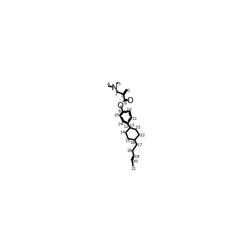 C=C(CN(C)C)C(=O)Oc1ccc(C2CCC(CC/C=C/C)CC2)cc1